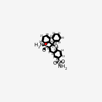 NS(=O)(=O)C1=Cc2cc(S(N)(=O)=O)ccc2OC1(c1ccccc1)c1ccccc1